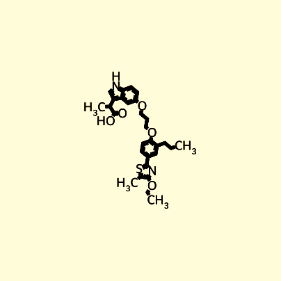 CCCc1cc(-c2nc(OCC)c(C)s2)ccc1OCCCOc1ccc2[nH]cc(C(C)C(=O)O)c2c1